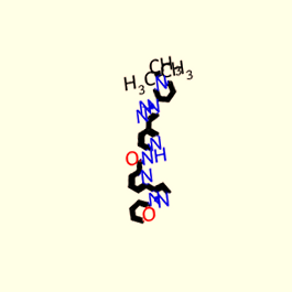 CC(C)(C)N1CCC[C@@H](n2cc(-c3ccc(NC(=O)c4cccc(-c5ccnn5C5CCCCO5)n4)nc3)nn2)C1